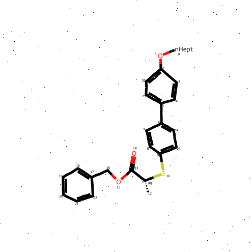 CCCCCCCOc1ccc(-c2ccc(S[C@H](C)C(=O)OCc3ccccc3)cc2)cc1